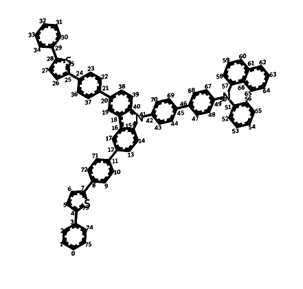 c1ccc(-c2ccc(-c3ccc(-c4ccc5c(c4)c4cc(-c6ccc(-c7ccc(-c8ccccc8)s7)cc6)ccc4n5-c4ccc(-c5ccc(N(c6ccccc6)c6cccc7ccccc67)cc5)cc4)cc3)s2)cc1